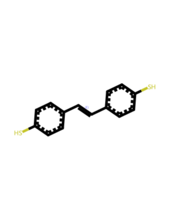 Sc1ccc(/C=C/c2ccc(S)cc2)cc1